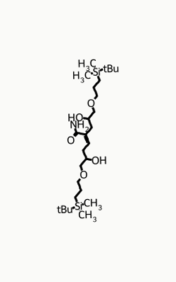 CC(C)(C)[Si](C)(C)CCCOCC(O)CC=C(CC(O)COCCC[Si](C)(C)C(C)(C)C)C(N)=O